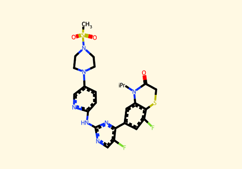 CC(C)N1C(=O)CSc2c(F)cc(-c3nc(Nc4ccc(N5CCN(S(C)(=O)=O)CC5)cn4)ncc3F)cc21